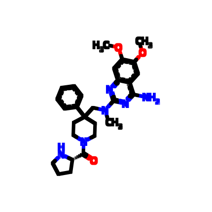 COc1cc2nc(N(C)CC3(c4ccccc4)CCN(C(=O)[C@@H]4CCCN4)CC3)nc(N)c2cc1OC